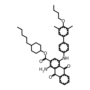 CCCCCC1CCC(OC(=O)c2cc(Nc3ccc(-c4cc(C)c(OCCCC)c(C)c4)cc3)c3c(c2N)C(=O)c2ccccc2C3=O)CC1